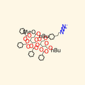 CCCCOCC1O[C@@H](Oc2ccc(CCN=[N+]=[N-])cc2)C(OCCCC)C(O[C@@H]2OC(C(=O)OC)[C@@H](OC(=O)c3ccccc3)C(OC(=O)c3ccccc3)C2OC(=O)c2ccccc2)[C@H]1OC(=O)c1ccccc1